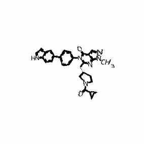 Cn1ncc2c(=O)n(-c3ccc(-c4ccc5[nH]ccc5c4)cc3)c(C[C@@H]3CCN(C(=O)C4CC4)C3)nc21